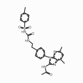 CC(=O)Nc1nc2c(C)cc(C)nc2n1-c1ccc(CCNC(=O)NS(=O)(=O)c2ccc(C)cc2)cc1